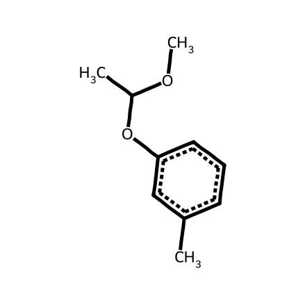 COC(C)Oc1cccc(C)c1